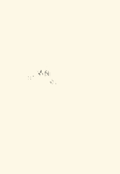 CCCCCCCCCCCCCCCCCCNC(=O)OCC(CNS(=O)(=O)CCC[N+](C)(C)C)NC(=O)OC.[I-]